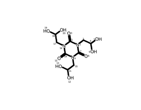 O=c1n(CC(O)O)c(=O)n(CC(O)O)c(=O)n1CC(O)O